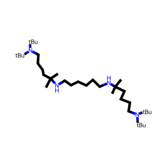 CC(C)(CCCCN(C(C)(C)C)C(C)(C)C)NCCCCCCNC(C)(C)CCCCN(C(C)(C)C)C(C)(C)C